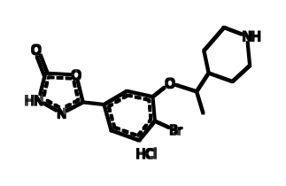 CC(Oc1cc(-c2n[nH]c(=O)o2)ccc1Br)C1CCNCC1.Cl